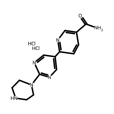 Cl.Cl.NC(=O)c1ccc(-c2cnc(N3CCNCC3)nc2)nc1